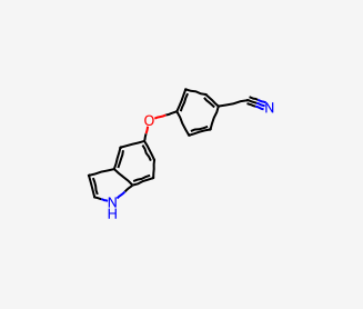 N#Cc1ccc(Oc2ccc3[nH]ccc3c2)cc1